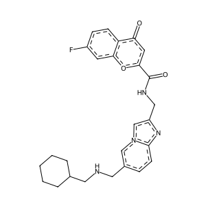 O=C(NCc1cn2cc(CNCC3CCCCC3)ccc2n1)c1cc(=O)c2ccc(F)cc2o1